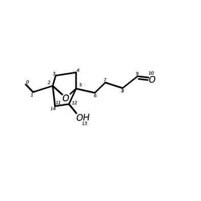 CCC12CCC(CCCC=O)(O1)C(O)C2